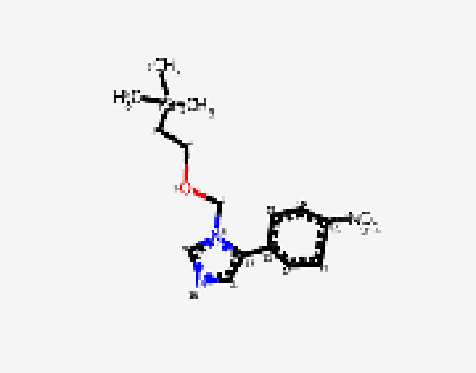 C[Si](C)(C)CCOCn1cncc1-c1ccc([N+](=O)[O-])cc1